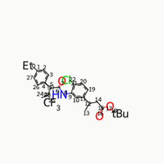 CCc1ccc([C@@H](C(=O)Nc2cc(C(C)CC(=O)OC(C)(C)C)ccc2Cl)[C@@H](C)C(F)(F)F)cc1